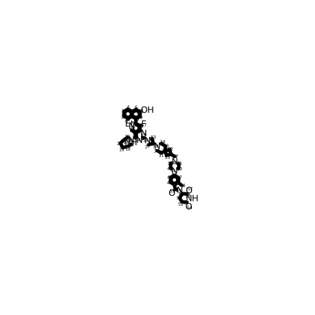 CCc1cccc2cc(O)cc(-c3ncc4c(N5CC6CCC(C5)N6)nc(N5CC(N6CCC7(CC6)CC(CN6CCN(c8ccc9c(c8)CN([C@H]8CCC(=O)NC8=O)C9=O)CC6)C7)C5)nc4c3F)c12